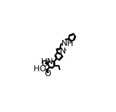 CCc1cc(C(=O)O)c(=O)[nH]c1-c1ccc2c(c1)cc(CNCc1ccccc1)n2C